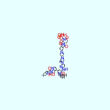 [2H]C([2H])([2H])Oc1ncc(-c2ccnc(N3CCn4c(cc5c4CC(C)(C)C5)C3=O)c2CO)cc1Nc1ccc(N2CCN(C3CCN(c4ccc5c(c4)C(=O)N(C4CCC(=O)N(COP(=O)(O)O)C4=O)C5=O)CC3)C[C@@H]2C)cn1